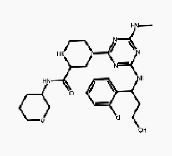 CNc1nc(NC(CCO)c2ccccc2Cl)nc(N2CCNC(C(=O)NC3CCCOC3)C2)n1